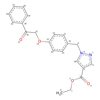 CCOC(=O)c1cnn(Cc2ccc(OCC(=O)c3ccccc3)cc2)c1